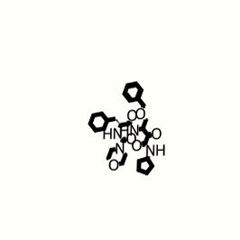 O=C(NC1CCCC1)C(=O)C(COCc1ccccc1)NC(=O)[C@@H](CC1CCCCC1)NC(=O)N1CCOCC1